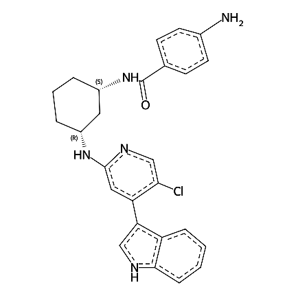 Nc1ccc(C(=O)N[C@H]2CCC[C@@H](Nc3cc(-c4c[nH]c5ccccc45)c(Cl)cn3)C2)cc1